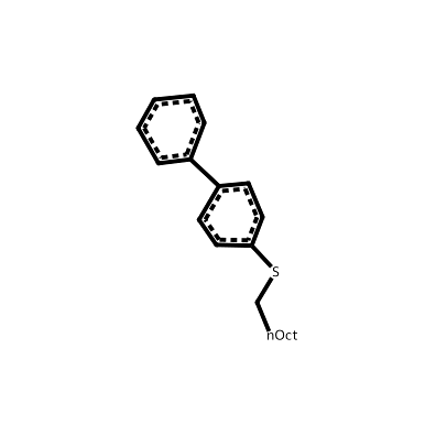 [CH2]CCCCCCCCSc1ccc(-c2ccccc2)cc1